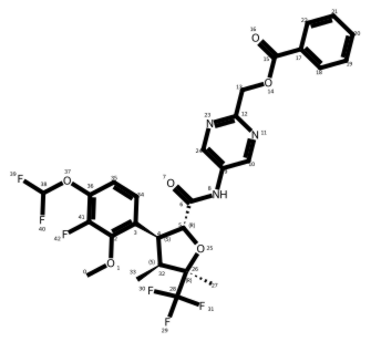 COc1c([C@H]2[C@H](C(=O)Nc3cnc(COC(=O)c4ccccc4)nc3)O[C@@](C)(C(F)(F)F)[C@H]2C)ccc(OC(F)F)c1F